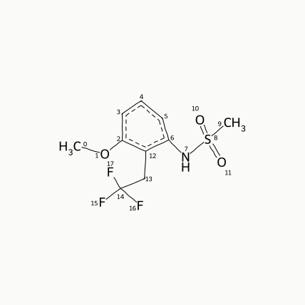 COc1cccc(NS(C)(=O)=O)c1CC(F)(F)F